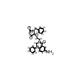 Nc1ccc2c(c1)C(=O)N(CCOC1C(=O)SC(=O)N1Cc1ccccc1)CN2c1ccccc1